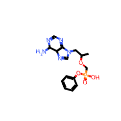 CC(CN1C=NC2C1=NC=NC2N)OCP(=O)(O)Oc1ccccc1